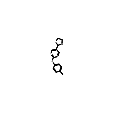 Cc1ccc(Oc2ncc(C3OCCO3)cn2)cc1